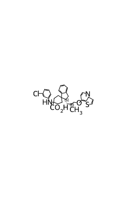 C[C@@H](COc1ccnc2ccsc12)C[C@H]1Cc2ccccc2C12CCC(Nc1cccc(Cl)c1)(C(=O)O)CC2